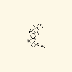 CC(=O)COc1ccccc1Sc1cc(-n2c(=O)cc(C(F)(F)F)n(C)c2=O)c(F)cc1C#N